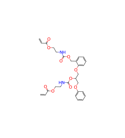 C=CC(=O)OCCNC(=O)OCc1ccccc1OCC(COc1ccccc1)OC(=O)NCCOC(=O)C=C